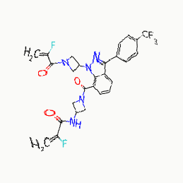 C=C(F)C(=O)NC1CN(C(=O)c2cccc3c(-c4ccc(C(F)(F)F)cc4)nn(C4CN(C(=O)C(=C)F)C4)c23)C1